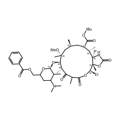 CC[C@H]1OC(=O)C(C)C(=O)[C@H](C)[C@@H](O[C@@H]2OC(COC(=O)c3ccccc3)CC(N(C)C)C2C)[C@](C)(OC)C[C@@H](C)CN(C(=O)OC(C)(C)C)[C@H](C)[C@H]2NC(=O)O[C@@]21C